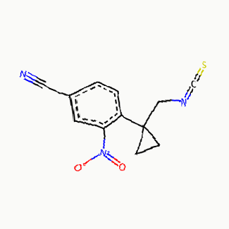 N#Cc1ccc(C2(CN=C=S)CC2)c([N+](=O)[O-])c1